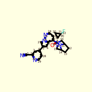 N#Cc1cc(-c2cc3c(N4CC5CCC(C4)N5C(=O)[C@@H]4C[C@H]4F)ccnn3c2)ccn1